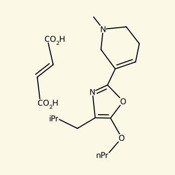 CCCOc1oc(C2=CCCN(C)C2)nc1CC(C)C.O=C(O)C=CC(=O)O